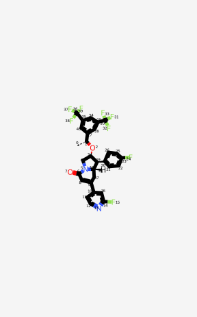 C[C@@H](O[C@H]1CN2C(=O)C=C(c3ccnc(F)c3)C[C@H]2[C@@H]1c1ccc(F)cc1)c1cc(C(F)(F)F)cc(C(F)(F)F)c1